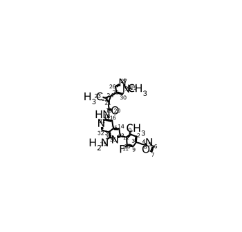 Cc1cc(-c2ncco2)cc(F)c1-c1cc2cc(NC(=O)C3C(C)C3c3cnn(C)c3)ncc2c(N)n1